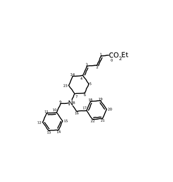 CCOC(=O)/C=C/C=C1CCC(N(Cc2ccccc2)Cc2ccccc2)CC1